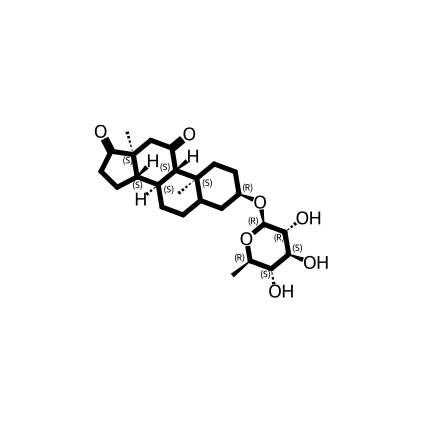 C[C@H]1O[C@@H](O[C@@H]2CC[C@@]3(C)C(CC[C@@H]4[C@@H]3C(=O)C[C@]3(C)C(=O)CC[C@@H]43)C2)[C@H](O)[C@@H](O)[C@@H]1O